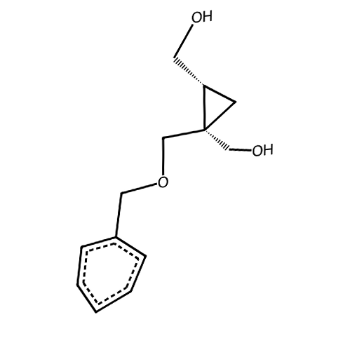 OC[C@@H]1C[C@@]1(CO)COCc1ccccc1